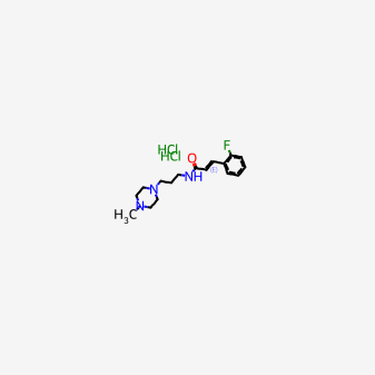 CN1CCN(CCCNC(=O)/C=C/c2ccccc2F)CC1.Cl.Cl